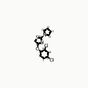 Clc1ccc(Oc2csc(-n3cccc3)n2)c(Cl)c1